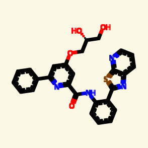 O=C(Nc1ccccc1-c1nc2cccnc2s1)c1cc(OC[C@H](O)CO)cc(-c2ccccc2)n1